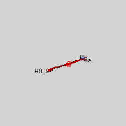 CC(=O)OCCN(C)CCCCCCCCCCCOC(=O)CCCCCCCCCCCCCCCCCCC(=O)O